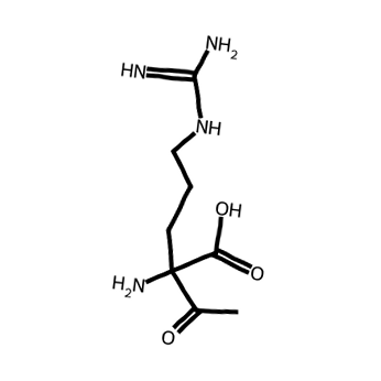 CC(=O)C(N)(CCCNC(=N)N)C(=O)O